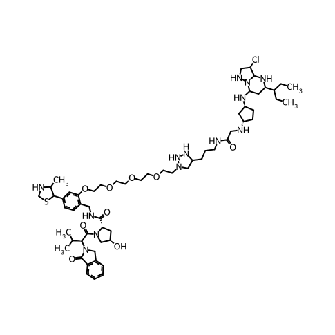 CCC(CC)C1CC(N[C@H]2CC[C@H](NCC(=O)NCCCC3CN(CCOCCOCCOCCOc4cc(C5SCNC5C)ccc4CNC(=O)[C@@H]4C[C@@H](O)CN4C(=O)[C@H](C(C)C)N4Cc5ccccc5C4=O)NN3)C2)N2NCC(Cl)C2N1